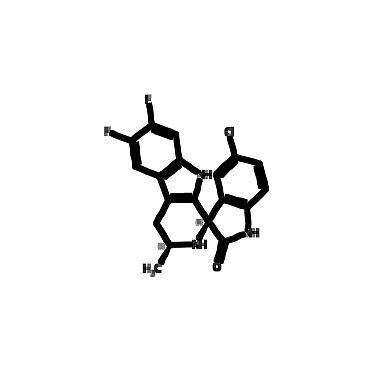 C[C@H]1Cc2c([nH]c3cc(F)c(F)cc23)[C@@]2(N1)C(=O)Nc1ccc(Cl)cc12